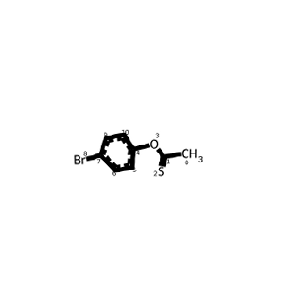 CC(=S)Oc1ccc(Br)cc1